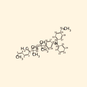 C=C(/C=C\C=C/C)C(C)(C)/C=C/C(C)(C)c1ccc(N(c2ccccc2)c2ccc(CC)cc2)cc1